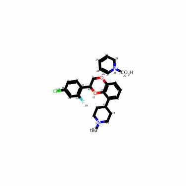 CC(C)(C)N1CCC(c2cccc3c2OC(c2ccc(Cl)cc2F)CO3)CC1.O=C(O)N1C=CC=CC1